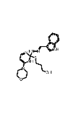 OCCCSC1(NN=Cc2c[nH]c3ccccc23)N=CC=C(N2CCOCC2)N1